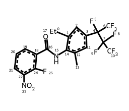 CCc1cc(C(F)(C(F)(F)F)C(F)(F)C(F)(F)F)cc(C)c1NC(=O)c1cccc([N+](=O)[O-])c1F